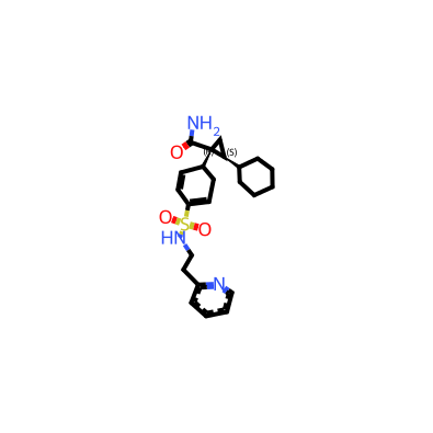 NC(=O)[C@]1(C2C=CC(S(=O)(=O)NCCc3ccccn3)=CC2)C[C@H]1C1CCCCC1